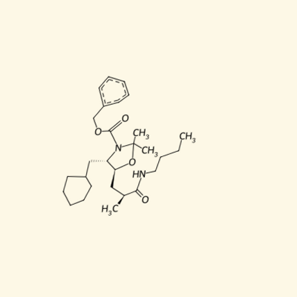 CCCCNC(=O)[C@@H](C)C[C@@H]1OC(C)(C)N(C(=O)OCc2ccccc2)[C@H]1CC1CCCCC1